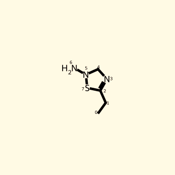 CCC1=NCN(N)S1